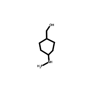 OCC1CCC(NP)CC1